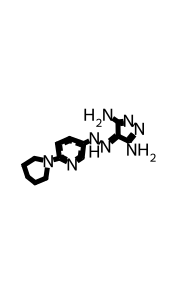 NC1=NN=C(N)C1=NNc1ccc(N2CCCCC2)nc1